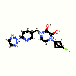 O=c1c(=O)n(C23CC(F)(C2)C3)ccn1Cc1ccc(-n2nccn2)nc1